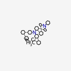 CC1(C)c2ccccc2-c2ccc(N(c3ccc(-c4ccccc4-c4ccccc4)cc3)c3cccc4c3-c3ccccc3C43c4ccccc4N(c4ccccc4)c4ccccc43)cc21